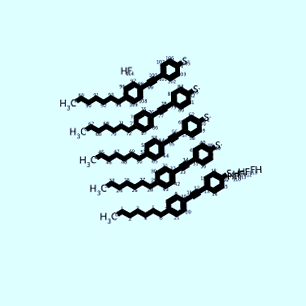 CCCCCCCc1ccc(C#Cc2ccc([S])cc2)cc1.CCCCCCCc1ccc(C#Cc2ccc([S])cc2)cc1.CCCCCCCc1ccc(C#Cc2ccc([S])cc2)cc1.CCCCCCCc1ccc(C#Cc2ccc([S])cc2)cc1.CCCCCCCc1ccc(C#Cc2ccc([S])cc2)cc1.F.F.F.F.F